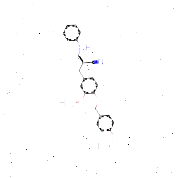 COc1ccc(COc2ccc(C/C(C#N)=C/Nc3ccccc3)cc2OC)cc1